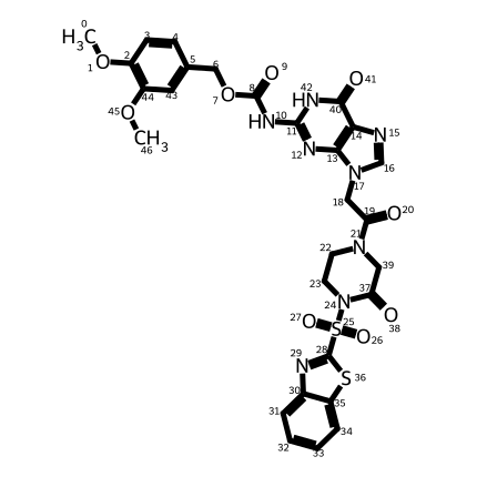 COc1ccc(COC(=O)Nc2nc3c(ncn3CC(=O)N3CCN(S(=O)(=O)c4nc5ccccc5s4)C(=O)C3)c(=O)[nH]2)cc1OC